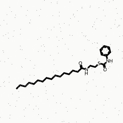 CCCCCCCCCCCCCCCC(=O)NCCSC(=O)Nc1ccccc1